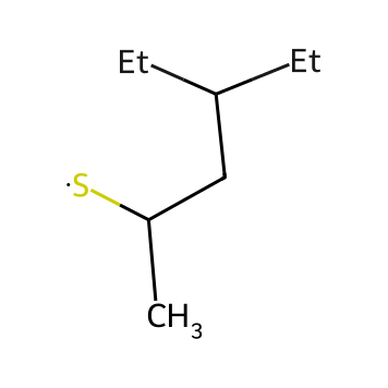 CCC(CC)CC(C)[S]